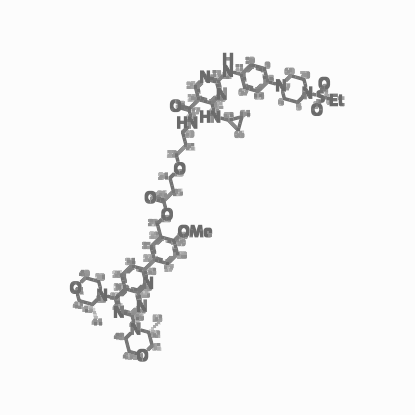 CCS(=O)(=O)N1CCN(c2ccc(Nc3ncc(C(=O)NCCCOCCC(=O)OCc4cc(-c5ccc6c(N7CCOC[C@H]7C)nc(N7CCOC[C@H]7C)nc6n5)ccc4OC)c(NC4CC4)n3)cc2)CC1